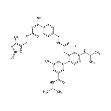 Cc1oc(=O)oc1COC(=O)/N=C(/N)c1ccc(CNC(=O)Cn2c(-c3cc(N)cc(C(=O)NC(C)C)c3)cnc(NC(C)C)c2=O)cc1